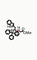 COC(=O)CNC(=O)C(Cc1cc2ccccc2[nH]1)NC(c1ccccc1)(c1ccccc1)c1ccccc1